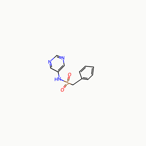 O=S(=O)(Cc1ccccc1)Nc1cncnc1